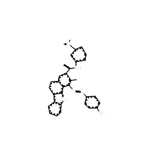 Nc1ccc(N=Nc2c(O)c(C(=O)Nc3cccc([N+](=O)[O-])c3)cc3ccc4c5ccccc5[nH]c4c23)cc1